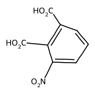 O=C(O)c1cccc([15N+](=O)[O-])c1C(=O)O